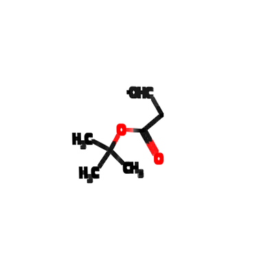 CC(C)(C)OC(=O)C[C]=O